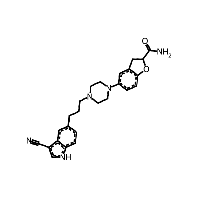 N#Cc1c[nH]c2ccc(CCCN3CCN(c4ccc5c(c4)CC(C(N)=O)O5)CC3)cc12